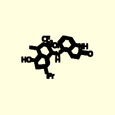 CC(C)c1cc(O)c2c(c1)C(Nc1cccc3[nH]c(=O)ccc13)C(O)(C(F)(F)F)CC2C